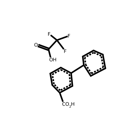 O=C(O)C(F)(F)F.O=C(O)c1cccc(-c2ccccc2)c1